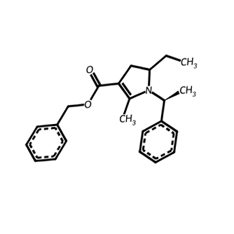 CCC1CC(C(=O)OCc2ccccc2)=C(C)N1[C@@H](C)c1ccccc1